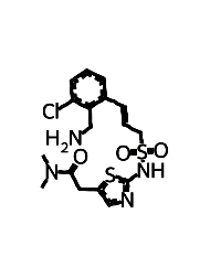 CN(C)C(=O)Cc1cnc(NS(=O)(=O)CC=Cc2cccc(Cl)c2CN)s1